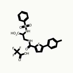 Cc1ccc(-c2ccc(C(=O)NCC(NS(=O)(=O)c3ccccc3)C(=O)O)s2)cc1.O=C(O)C(F)(F)F